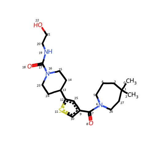 CC1(C)CCCN(C(=O)c2csc(C3CCN(C(=O)NCCO)CC3)c2)CC1